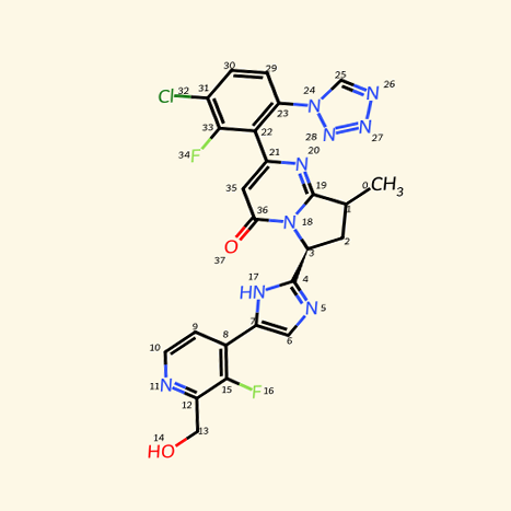 CC1C[C@@H](c2ncc(-c3ccnc(CO)c3F)[nH]2)n2c1nc(-c1c(-n3cnnn3)ccc(Cl)c1F)cc2=O